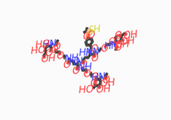 CC(=O)NC1C(OCCOCCNC(=O)CCC(NC(=O)CCC(NC(=O)C2CCC(OP(=O)(S)C(C)C)CC2)C(=O)NCCOCCOC2(NC(C)=O)COC(CO)C(O)C2O)C(=O)NCCOCCOC2OC(CO)C(O)C(O)C2NC(C)=O)OC(CO)C(O)C1O